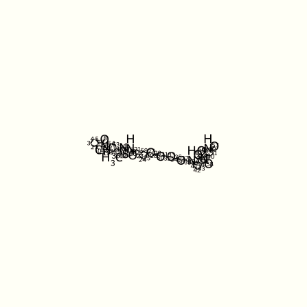 Cc1ccccc1C(=O)N1CCc2cc(-c3nc(NC(=O)Cc4cccc(OCCOCCOCCOCCNc5cccc6c5C(=O)N(C5CCC(=O)NC5=O)C6=O)c4)sc3C)ccc21